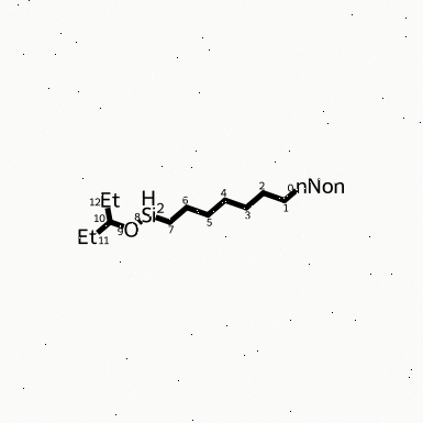 CCCCCCCCCCCCCCCC[SiH2]OC(CC)CC